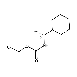 C[C@@H](NC(=O)OCCl)C1CCCCC1